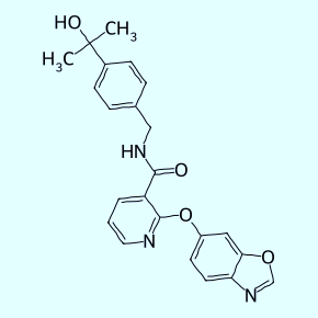 CC(C)(O)c1ccc(CNC(=O)c2cccnc2Oc2ccc3ncoc3c2)cc1